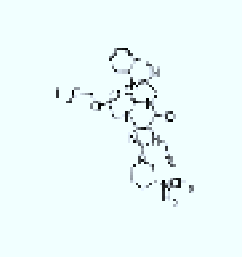 CC#CCn1c(N2CCCC(N)C2)nc2c1c(=O)n(Cc1ncc3ccccc3n1)c(=O)n2CC(=O)OCC